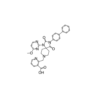 COc1ccnc(N2C(=O)N(c3ccc(-c4ccccc4)cc3)C(=O)C23CCN(Cc2ncccc2C(=O)O)CC3)n1